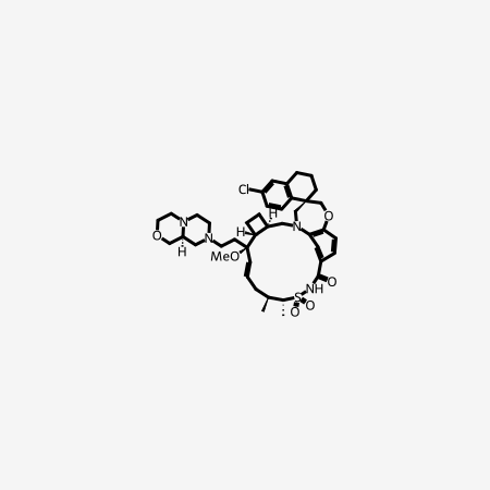 CO[C@]1(CCN2CCN3CCOC[C@@H]3C2)/C=C/C[C@H](C)[C@@H](C)S(=O)(=O)NC(=O)c2ccc3c(c2)N(C[C@@H]2CC[C@H]21)C[C@@]1(CCCc2cc(Cl)ccc21)CO3